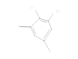 Cc1cc(I)cc(Cl)c1Br